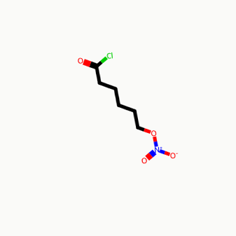 O=C(Cl)CCCCCO[N+](=O)[O-]